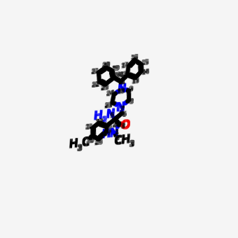 CNC(=O)C(N)(CN1CCN(C(c2ccccc2)c2ccccc2)CC1)c1ccc(C)cc1